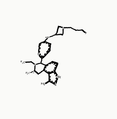 C[C@@H]1Cc2c(ccc3[nH]nc(O)c23)C(c2ccc(NC3CN(CCCF)C3)cn2)N1CC(F)(F)F